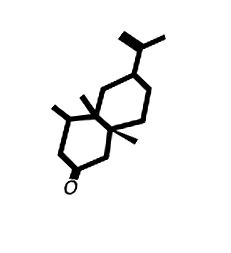 C=C(C)C1CC[C@]2(C)CC(=O)CC(C)C2(C)C1